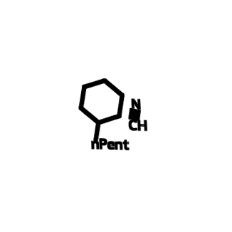 C#N.CCCCCC1CCCCC1